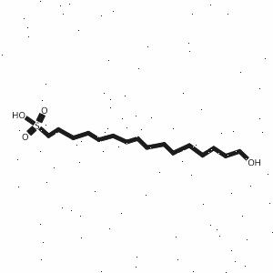 O=S(=O)(O)CCCCCCCCCCCCCCCCO